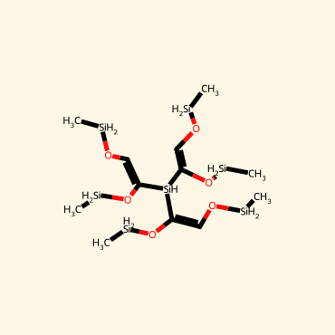 C[SiH2]OC=C(O[SiH2]C)[SiH](C(=CO[SiH2]C)O[SiH2]C)C(=CO[SiH2]C)O[SiH2]C